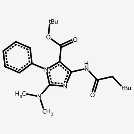 CN(C)c1nc(NC(=O)CC(C)(C)C)c(C(=O)OC(C)(C)C)n1-c1ccccc1